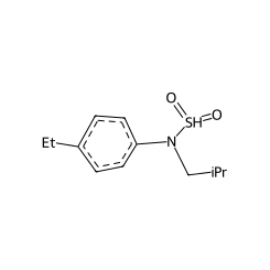 CCc1ccc(N(CC(C)C)[SH](=O)=O)cc1